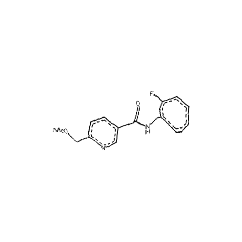 COCc1ccc(C(=O)Nc2ccccc2F)cn1